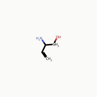 C=CC(N)[SiH2]O